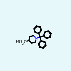 O=C(O)C1CCN(C(c2ccccc2)(c2ccccc2)c2ccccc2)CC1